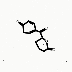 O=C1C=CC(C(=O)C2CCCC(=O)O2)=CC1